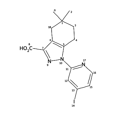 CC1(C)CCc2c(c(C(=O)O)nn2-c2cc(I)ccn2)C1